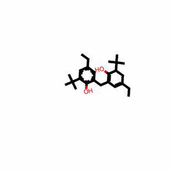 CCC1=CC(Cc2cc(CC)cc(C(C)(C)C)c2O)=C(O)C(C(C)(C)C)C1